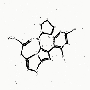 COC(=O)Cc1csc2nc(-c3ccc(F)cc3F)c(NC3CCCC3)n12